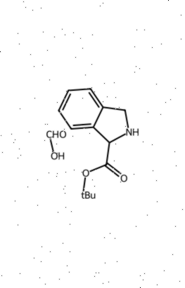 CC(C)(C)OC(=O)C1NCc2ccccc21.O=CO